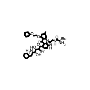 CC[C@@H](C)[C@@H](N)C(=O)NCc1nc2c(C(=O)c3ccc(C)cc3OCCOc3ccccc3)c(C(=O)C(C(C)C)C(O)[C@H](O)[C@@H](N)CC3CCCCC3)ccc2[nH]1